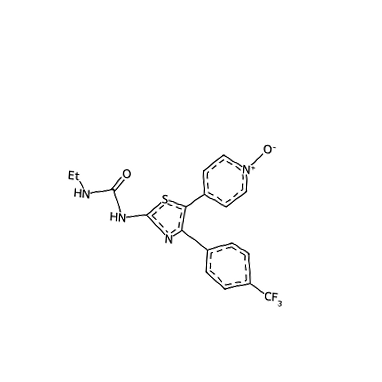 CCNC(=O)Nc1nc(-c2ccc(C(F)(F)F)cc2)c(-c2cc[n+]([O-])cc2)s1